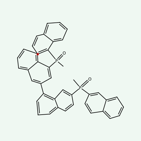 CP(=O)(c1ccc2ccccc2c1)c1ccc2cccc(-c3cc(P(C)(=O)c4cccc5ccccc45)c4ccccc4c3)c2c1